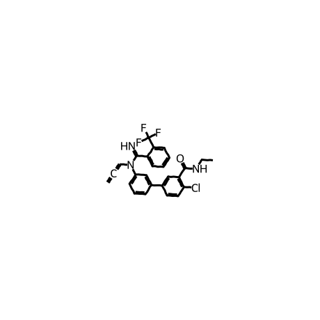 C=C=CN(C(=N)c1ccccc1C(F)(F)F)c1cccc(-c2ccc(Cl)c(C(=O)NCC)c2)c1